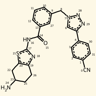 N#Cc1ccc(-c2cn(Cc3cccc(C(=O)Nc4nc5c(s4)CC(N)CC5)c3)nn2)cc1